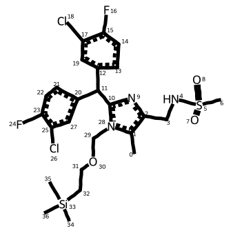 Cc1c(CNS(C)(=O)=O)nc(C(c2ccc(F)c(Cl)c2)c2ccc(F)c(Cl)c2)n1COCC[Si](C)(C)C